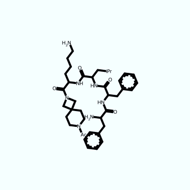 CC(=O)N1CCC2(CC1)CN(C(=O)C(CCCCN)NC(=O)C(CC(C)C)NC(=O)C(Cc1ccccc1)NC(=O)C(N)Cc1ccccc1)C2